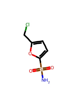 NS(=O)(=O)c1ccc(CCl)o1